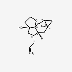 C=CC[C@@H]1C[C@]2(O)CCO[C@@]23C[C@H]2O[C@H]2C[C@H]13